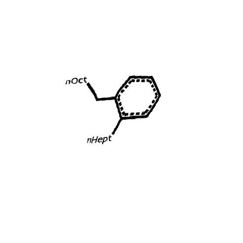 CCCCCCCCCc1ccccc1CCCCCCC